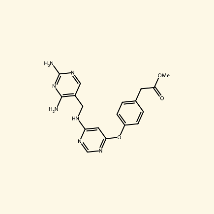 COC(=O)Cc1ccc(Oc2cc(NCc3cnc(N)nc3N)ncn2)cc1